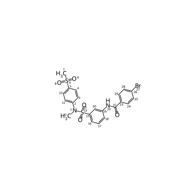 CN(c1ccc(S(C)(=O)=O)cc1)S(=O)(=O)c1cccc(NC(=O)c2ccc(Br)cc2)c1